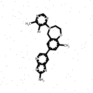 CC(=O)c1c(C)ncnc1N1CCOc2c(C)cc(-c3cnc4sc(N)nc4c3)cc2C1